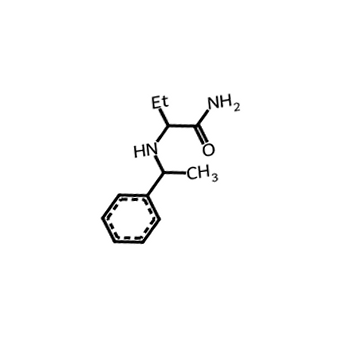 CCC(NC(C)c1ccccc1)C(N)=O